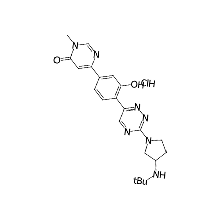 Cl.Cn1cnc(-c2ccc(-c3cnc(N4CCC(NC(C)(C)C)C4)nn3)c(O)c2)cc1=O